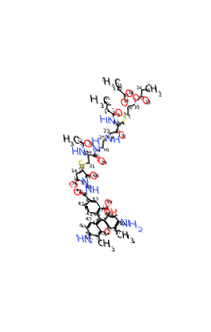 CCC(=O)N[C@@H](CSCC(COC(=O)CC)OC(=O)CC)C(=O)CNCCNC(=O)C(CSC1CC(=O)N(NC(=O)c2ccc(-c3c4ccc(=N)c(C)c-4oc4c(C)c(N)ccc34)c(C(=O)O)c2)C1=O)NC(C)=O